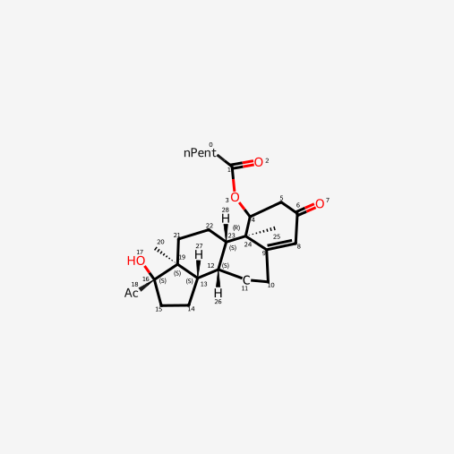 CCCCCC(=O)OC1CC(=O)C=C2CC[C@@H]3[C@@H]4CC[C@@](O)(C(C)=O)[C@@]4(C)CC[C@@H]3[C@]21C